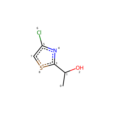 CC(O)c1nc(Cl)cs1